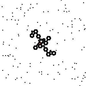 c1ccc(-c2ccc3c(c2)C2(c4ccccc4N3c3ccc(-c4cccc5c4sc4ccccc45)cc3)c3ccccc3N(c3ccc(-c4cccc5sc6ccccc6c45)cc3)c3ccc(-c4ccccc4)cc32)cc1